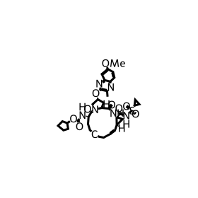 COc1ccc2nc(C)c(O[C@@H]3C[C@H]4C(=O)N[C@]5(C(=O)NS(=O)(=O)C6CC6)C[C@H]5/C=C\CCCCC[C@H](NC(=O)OC5CCCC5)C(=O)N4C3)nc2c1